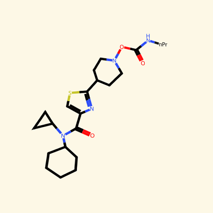 CCCNC(=O)ON1CCC(c2nc(C(=O)N(C3CCCCC3)C3CC3)cs2)CC1